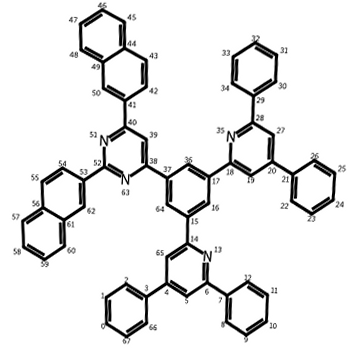 c1ccc(-c2cc(-c3ccccc3)nc(-c3cc(-c4cc(-c5ccccc5)cc(-c5ccccc5)n4)cc(-c4cc(-c5ccc6ccccc6c5)nc(-c5ccc6ccccc6c5)n4)c3)c2)cc1